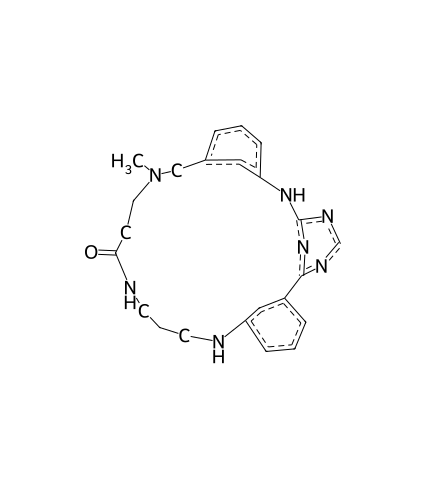 CN1CCC(=O)NCCCNc2cccc(c2)-c2ncnc(n2)Nc2cccc(c2)C1